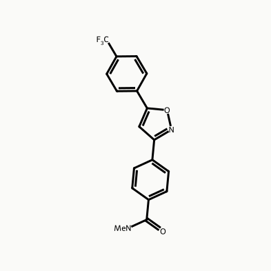 CNC(=O)c1ccc(-c2cc(-c3ccc(C(F)(F)F)cc3)on2)cc1